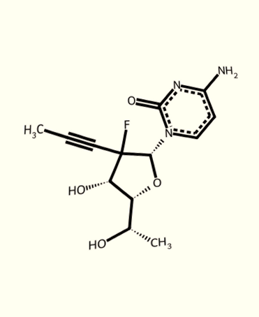 CC#CC1(F)[C@@H](O)[C@@H]([C@H](C)O)O[C@H]1n1ccc(N)nc1=O